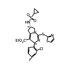 CCOC(=O)C1=C2C[C@H](NS(=O)(=O)C3CC3)CN2C(Sc2nccs2)=N[C@H]1c1ccc(I)cc1Cl